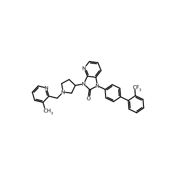 Cc1cccnc1CN1CCC(n2c(=O)n(-c3ccc(-c4ccccc4C(F)(F)F)cc3)c3cccnc32)C1